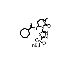 CCCCS(=O)(=O)c1nnc(N2C(=O)N(C)CCC2OC(=S)C2CCCCCC2)s1